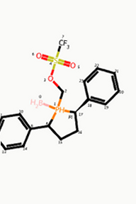 B[PH]1(COS(=O)(=O)C(F)(F)F)C(c2ccccc2)CC[C@@H]1c1ccccc1